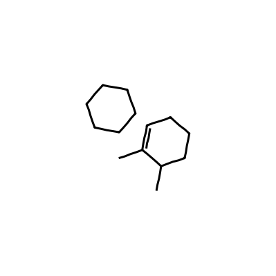 C1CCCCC1.CC1=CCCCC1C